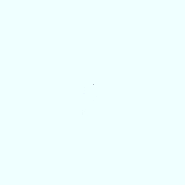 C#CCC1([S])CCCC1